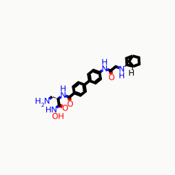 NC[C@H](NC(=O)c1ccc(-c2ccc(NC(=O)CN[C@@H]3CC4CC[C@@H]3C4)cc2)cc1)C(=O)NO